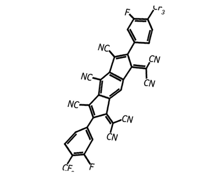 N#CC(C#N)=C1C(c2ccc(C(F)(F)F)c(F)c2)=C(C#N)c2c1cc1c(c2C#N)C(C#N)=C(c2ccc(C(F)(F)F)c(F)c2)C1=C(C#N)C#N